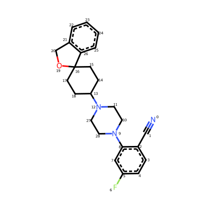 N#Cc1ccc(F)cc1N1CCN(C2CCC3(CC2)OCc2ccccc23)CC1